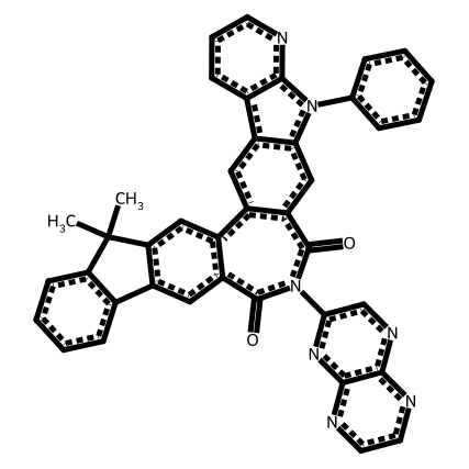 CC1(C)c2ccccc2-c2cc3c(=O)n(-c4cnc5nccnc5n4)c(=O)c4cc5c(cc4c3cc21)c1cccnc1n5-c1ccccc1